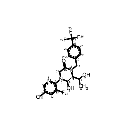 C[C@H](O)[C@@H]1C(O)N(c2ncc(Cl)cc2F)CC(=O)N1Cc1ccc(C(F)(F)F)cc1